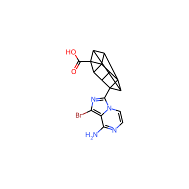 Nc1nccn2c(C34C5C6C7(C(=O)O)C8C3C43C8C67C53)nc(Br)c12